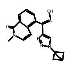 Cn1ccc2c(/C(=N\O)c3cn(C45CC(C4)C5)nn3)cccc2c1=O